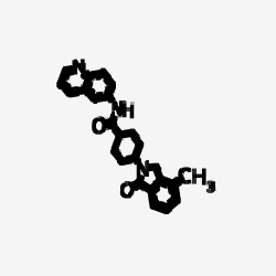 Cc1cccc2c1CN(C1CCC(C(=O)Nc3ccc4ncccc4c3)CC1)C2=O